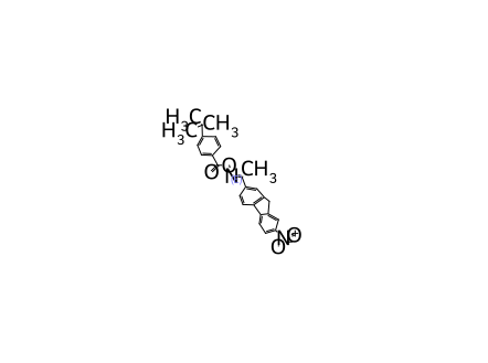 C/C(=N\OC(=O)c1ccc(C(C)(C)C)cc1)c1ccc2c(c1)Cc1cc([N+](=O)[O-])ccc1-2